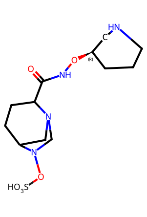 O=C(NO[C@@H]1CCCNC1)C1CCC2CN1CN2OS(=O)(=O)O